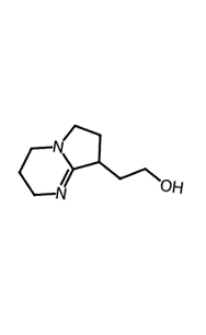 OCCC1CCN2CCCN=C12